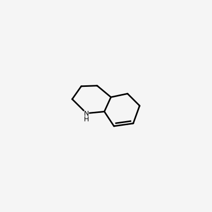 C1=CC2NCCCC2CC1